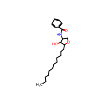 CCCCCCCCCCCCC1OCC(NC(=O)c2ccccc2)C1O